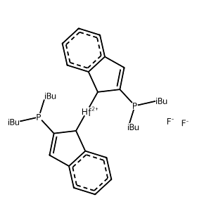 CCC(C)P(C1=Cc2ccccc2[CH]1[Hf+2][CH]1C(P(C(C)CC)C(C)CC)=Cc2ccccc21)C(C)CC.[F-].[F-]